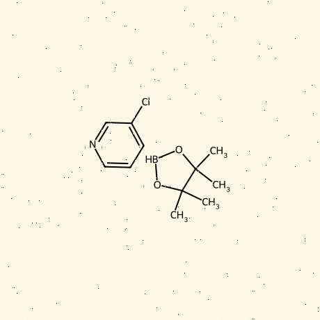 CC1(C)OBOC1(C)C.Clc1cccnc1